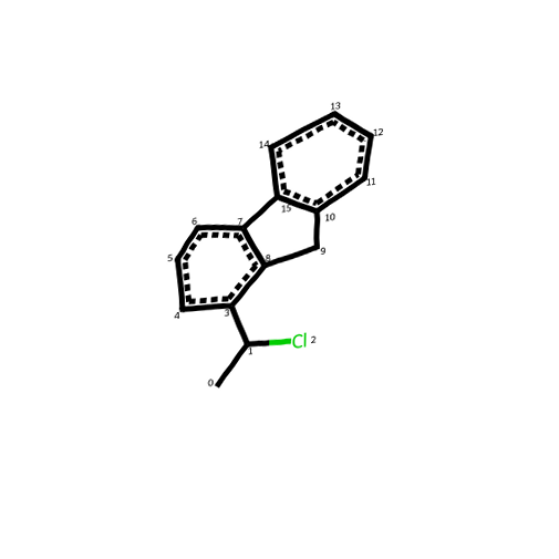 CC(Cl)c1cccc2c1Cc1ccccc1-2